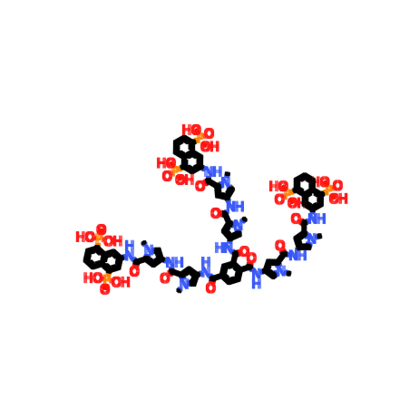 Cn1cc(NC(=O)c2ccc(C(=O)Nc3cc(C(=O)Nc4cc(C(=O)Nc5cc(P(=O)(O)O)c6cccc(P(=O)(O)O)c6c5)n(C)c4)n(C)c3)c(C(=O)Nc3cc(C(=O)Nc4cc(C(=O)Nc5cc(P(=O)(O)O)c6cccc(P(=O)(O)O)c6c5)n(C)c4)n(C)c3)c2)cc1C(=O)Nc1cc(C(=O)Nc2cc(P(=O)(O)O)c3cccc(P(=O)(O)O)c3c2)n(C)c1